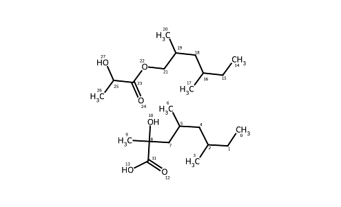 CCC(C)CC(C)CC(C)(O)C(=O)O.CCC(C)CC(C)COC(=O)C(C)O